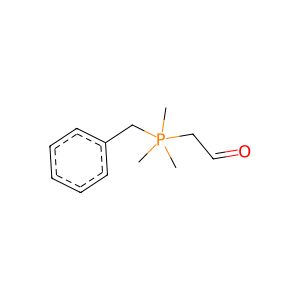 CP(C)(C)(CC=O)Cc1ccccc1